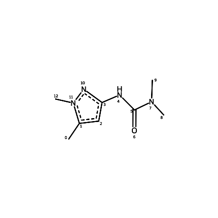 Cc1cc(NC(=O)N(C)C)nn1C